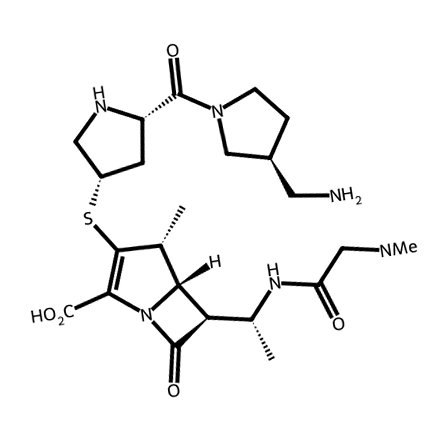 CNCC(=O)N[C@H](C)[C@H]1C(=O)N2C(C(=O)O)=C(S[C@@H]3CN[C@H](C(=O)N4CC[C@@H](CN)C4)C3)[C@H](C)[C@H]12